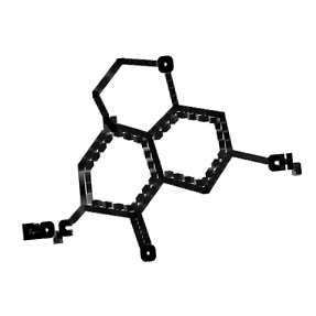 CCOC(=O)c1cn2c3c(cc(C)cc3c1=O)OCC2